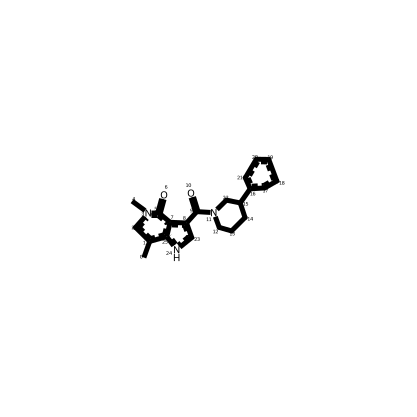 Cc1cn(C)c(=O)c2c(C(=O)N3CCCC(c4ccccc4)C3)c[nH]c12